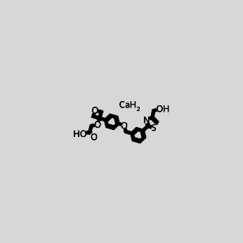 O=C(O)COC1(c2ccc(OCc3cccc(-c4nc(CO)cs4)c3)cc2)COC1.[CaH2]